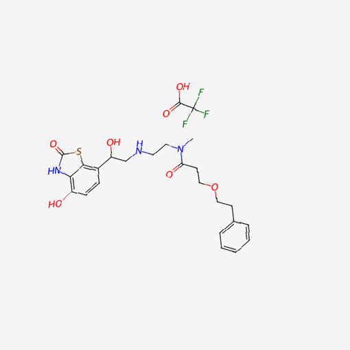 CN(CCNCC(O)c1ccc(O)c2[nH]c(=O)sc12)C(=O)CCOCCc1ccccc1.O=C(O)C(F)(F)F